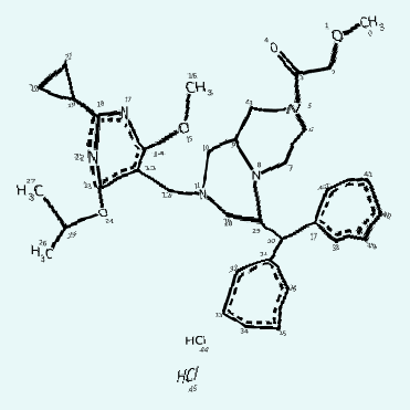 COCC(=O)N1CCN2C(CN(Cc3c(OC)nc(C4CC4)nc3OC(C)C)CC2C(c2ccccc2)c2ccccc2)C1.Cl.Cl